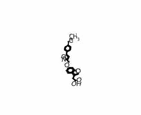 COCc1ccc(-c2cc(COc3ccc4c(CC(=O)O)coc4c3)no2)cc1